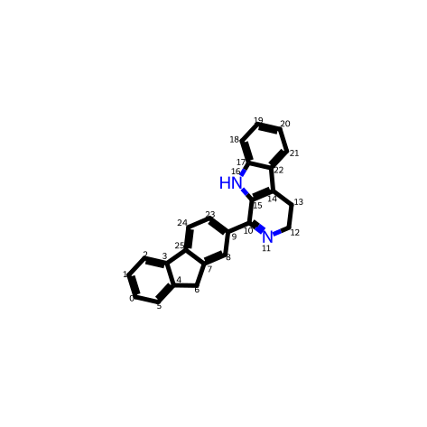 c1ccc2c(c1)Cc1cc(C3=NCCc4c3[nH]c3ccccc43)ccc1-2